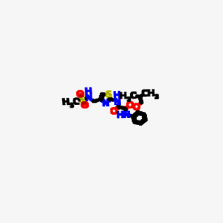 CC(C)COc1ccccc1NC(=O)C(=O)Nc1nc(CNS(C)(=O)=O)cs1